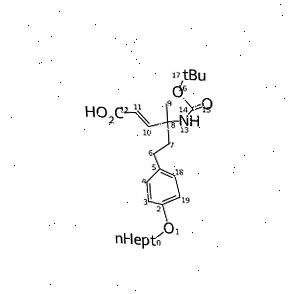 CCCCCCCOc1ccc(CCC(C)(C=CC(=O)O)NC(=O)OC(C)(C)C)cc1